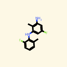 Cc1cccc(F)c1Nc1cc(F)cc(N)c1C